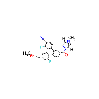 COCCc1ccc(-c2ccc(C(=O)N3C[C@H]4C[C@@H]3CN4C)cc2-c2ccc(C#N)c(F)c2)c(F)c1